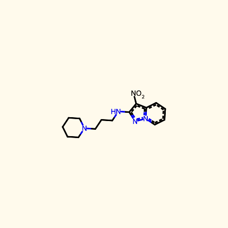 O=[N+]([O-])c1c(NCCCN2CCCCC2)nn2ccccc12